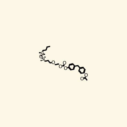 CCCC[Si](C)(C)O[Si](C)(C)CCCOCCOC(=O)Oc1ccc(Cc2ccc(OC(C)=O)cc2)cc1